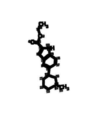 CCOC(=O)c1cc2cc(C3CCCN(C)C3)ccc2[nH]1